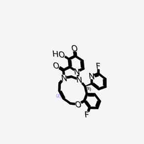 O=C1c2c(O)c(=O)ccn2N2CN1C/C=C\COc1c(F)cccc1[C@@H]2c1cccc(F)n1